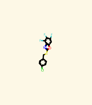 Fc1cc2oc(SCc3ccc(Cl)cc3)nc2c(F)c1F